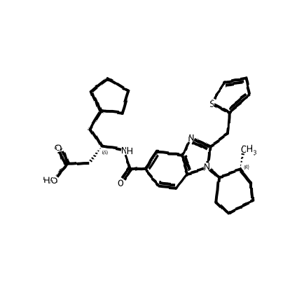 C[C@@H]1CCCCC1n1c(Cc2cccs2)nc2cc(C(=O)N[C@H](CC(=O)O)CC3CCCC3)ccc21